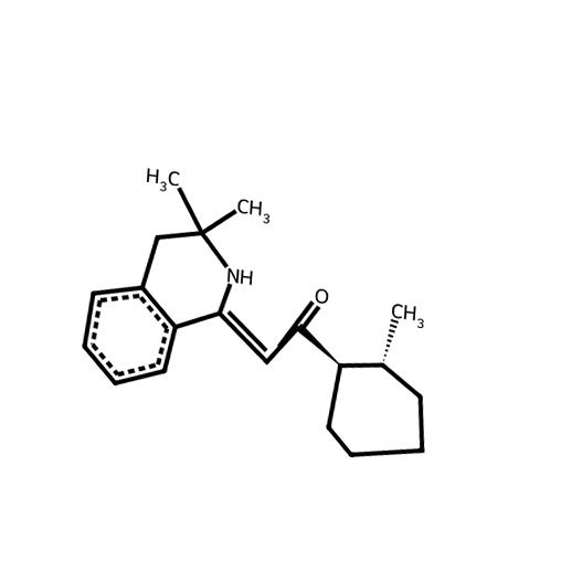 C[C@@H]1CCCC[C@H]1C(=O)C=C1NC(C)(C)Cc2ccccc21